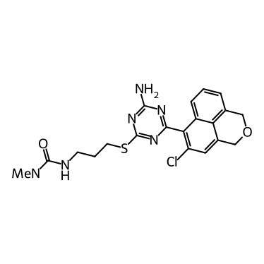 CNC(=O)NCCCSc1nc(N)nc(-c2c(Cl)cc3c4c(cccc24)COC3)n1